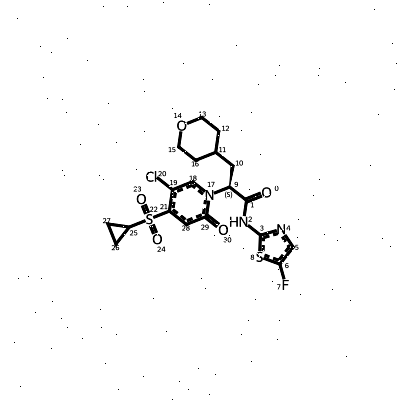 O=C(Nc1ncc(F)s1)[C@H](CC1CCOCC1)n1cc(Cl)c(S(=O)(=O)C2CC2)cc1=O